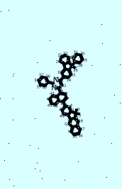 CC1(C)c2cc(-c3ccc(-c4cc(-c5ccc6c(c5)-c5ccccc5C6(C)c5ccccc5)nc(-c5ccccc5)n4)c4ccccc34)ccc2-c2cc3ccccc3cc21